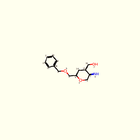 N=C1COC(COCc2ccccc2)CC1CO